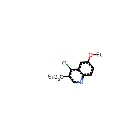 CCOC(=O)c1cnc2ccc(OCC)cc2c1Cl